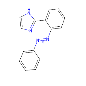 c1ccc(/N=N/c2ccccc2-c2ncc[nH]2)cc1